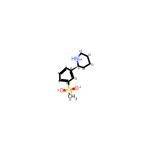 CS(=O)(=O)c1cccc([C@@H]2CCCCN2)c1